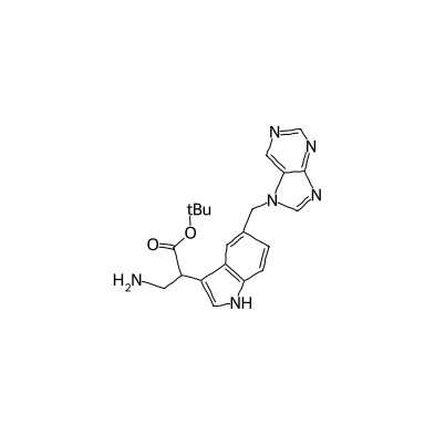 CC(C)(C)OC(=O)C(CN)c1c[nH]c2ccc(Cn3cnc4ncncc43)cc12